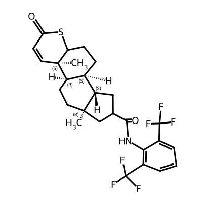 C[C@]12CC[C@@H]3[C@@H](CCC4SC(=O)C=C[C@@]43C)[C@@H]1CC(C(=O)Nc1c(C(F)(F)F)cccc1C(F)(F)F)C2